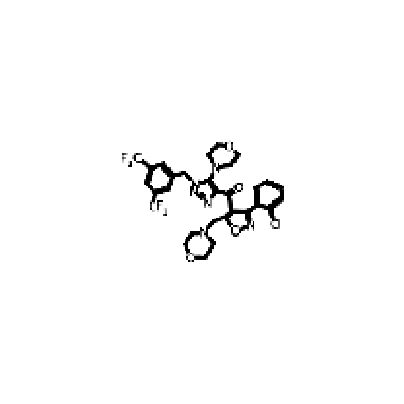 O=C(c1nnn(Cc2cc(C(F)(F)F)cc(C(F)(F)F)c2)c1N1CCOCC1)c1c(-c2ccccc2Cl)noc1CN1CCOCC1